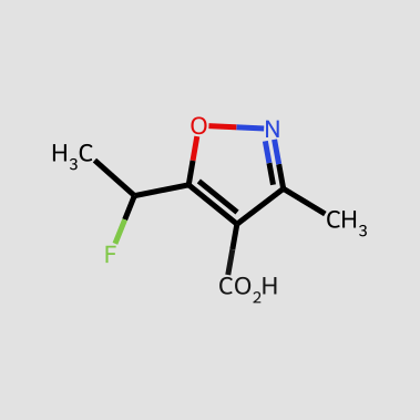 Cc1noc(C(C)F)c1C(=O)O